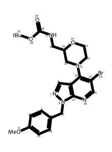 COc1ccc(Cn2ncc3c(N4CCOC(CNC(=O)OC(C)(C)C)C4)c(Br)cnc32)cc1